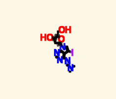 CN(C)/C=N/c1ncnc2c1c(I)cn2[C@H]1C[C@H](O)[C@@H](CO)O1